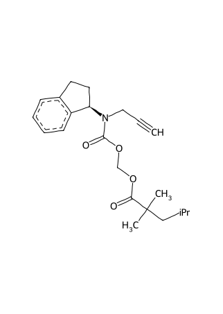 C#CCN(C(=O)OCOC(=O)C(C)(C)CC(C)C)[C@@H]1CCc2ccccc21